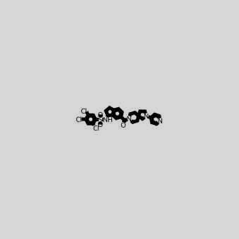 O=C(c1ccc2c(c1)C(NS(=O)(=O)c1cc(Cl)c(Cl)cc1Cl)CC2)N1CCC2(CC1)CCN(c1ccncc1)C2